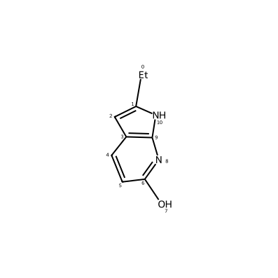 CCc1cc2ccc(O)nc2[nH]1